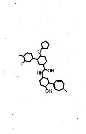 C[C@@H]1CC=CC(C2CC(NC(O)C3CCC(OC4CCCC4)C(C4CCC(I)C(F)C4)C3)CCC2O)=CC1